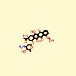 CC(=O)[C@]1(O)Cc2c(O)c3c(c(O)c2[C@@H](OC2CC(N)C(O)C(C)O2)C1)C(=O)c1c(OCO)cccc1C3=O